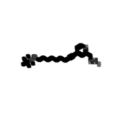 CC(C)(C)[Si](C)(C)OCCCCCCCC#Cc1ccnc(CN)c1